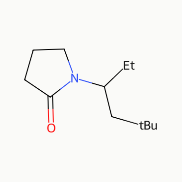 CCC(CC(C)(C)C)N1CCCC1=O